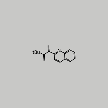 C=C(C(=C)C(C)(C)C)c1ccc2ccccc2n1